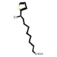 CCCCCCCCCCCCCCCCCC(CC)c1cccs1